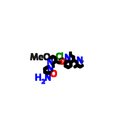 C/C=C(C)\C(=N/C)c1cc(C)nc2c(OCc3c(Cl)cc(OC)nc3Cn3cccc(N)c3=O)cccc12